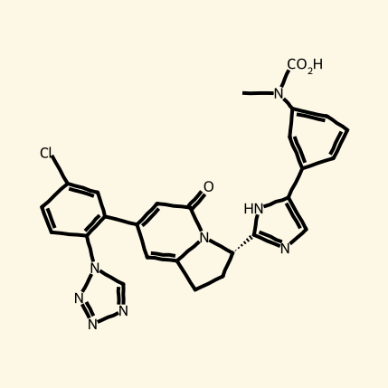 CN(C(=O)O)c1cccc(-c2cnc([C@@H]3CCc4cc(-c5cc(Cl)ccc5-n5cnnn5)cc(=O)n43)[nH]2)c1